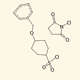 O=C1CCC(=O)N1Cl.O=S(=O)(Cl)C1CCC(OCc2ccccc2)CC1